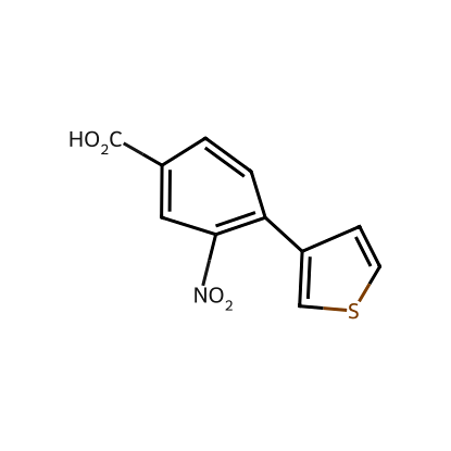 O=C(O)c1ccc(-c2ccsc2)c([N+](=O)[O-])c1